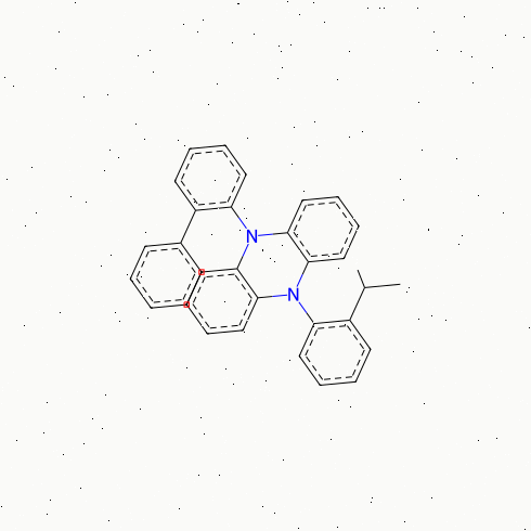 CC(C)c1ccccc1N1c2ccccc2N(c2ccccc2-c2ccccc2)c2ccccc21